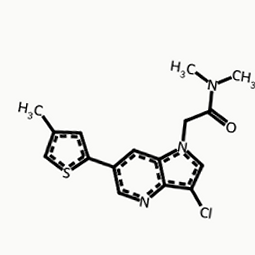 Cc1csc(-c2cnc3c(Cl)cn(CC(=O)N(C)C)c3c2)c1